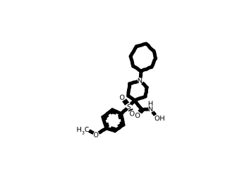 COc1ccc(S(=O)(=O)C2(C(=O)NO)CCN(C3CCCCCCC3)CC2)cc1